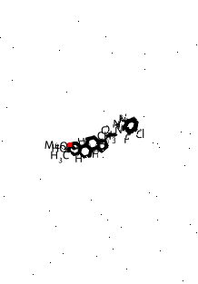 COCC[C@]12CC[C@@](C)(O)C[C@H]1CC[C@H]1[C@@H]3CC[C@H](C(=O)Cn4nnc5ccc(Cl)c(F)c54)[C@@]3(C)CC[C@@H]12